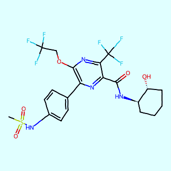 CS(=O)(=O)Nc1ccc(-c2nc(C(=O)N[C@@H]3CCCC[C@H]3O)c(C(F)(F)F)nc2OCC(F)(F)F)cc1